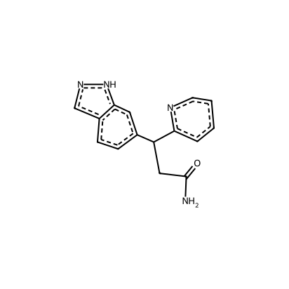 NC(=O)CC(c1ccc2cn[nH]c2c1)c1ccccn1